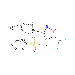 Cc1ccc(-c2noc(C(F)F)c2NS(=O)(=O)c2ccccc2)cc1